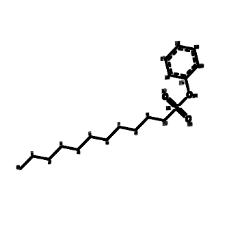 CCCCCCCCCCCS(=O)(=O)Oc1ccccc1